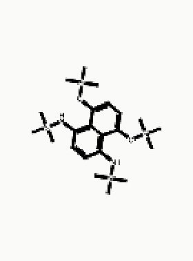 C[Si](C)(C)Nc1ccc(N[Si](C)(C)C)c2c(O[Si](C)(C)C)ccc(O[Si](C)(C)C)c12